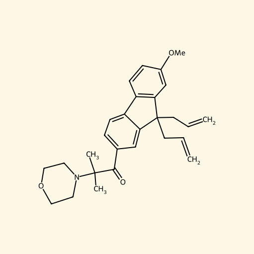 C=CCC1(CC=C)c2cc(OC)ccc2-c2ccc(C(=O)C(C)(C)N3CCOCC3)cc21